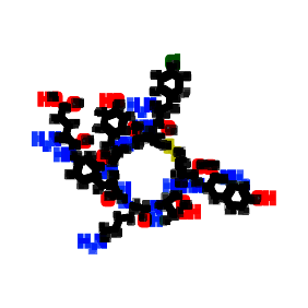 C[C@@H](O)[C@@H]1NC(=O)[C@H](CCCCN)NC(=O)[C@@H](Cc2ccc(NC(=O)[C@@H](N)CCC(=O)O)cc2)NC(=O)[C@H](Cc2ccc(O)cc2)NC(=O)[C@H](NC(=O)[C@@H](N)Cc2ccc(Cl)cc2)CSSC[C@@H](C(=O)N[C@H](Cc2ccc(O)cc2)C(N)=O)NC1=O